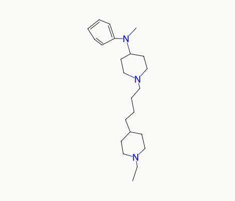 CCN1CCC(CCCCN2CCC(N(C)c3ccccc3)CC2)CC1